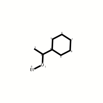 CCOC(C)C1CCCCC1